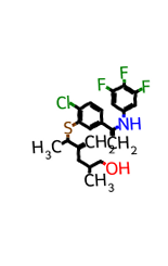 C=C(Nc1cc(F)c(F)c(F)c1)c1ccc(Cl)c(SC(C)C(=C)CC(C)CO)c1